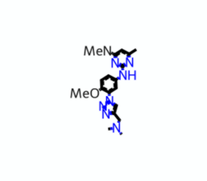 CNc1cc(C)nc(Nc2ccc(OC)c(-n3cc(CN(C)C)nn3)c2)n1